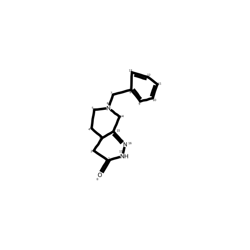 O=C1CC2CCN(Cc3ccccc3)CC2=NN1